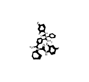 CC(c1cccc(C(C)N(C(=O)Nc2ccc(F)cc2F)C2CCCCC2)c1)N(C(=O)Nc1ccc(F)cc1F)C1CCCCC1